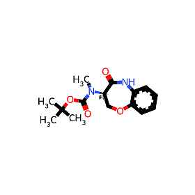 CN(C(=O)OC(C)(C)C)[C@@H]1COc2ccccc2NC1=O